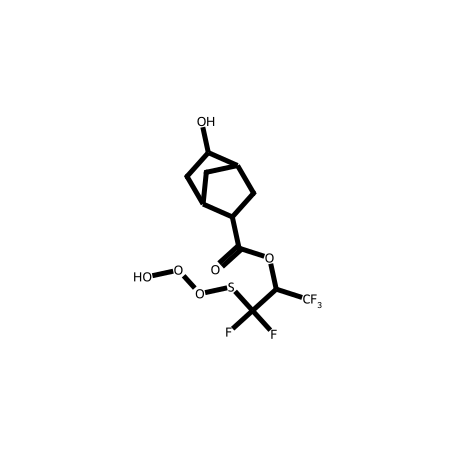 O=C(OC(C(F)(F)F)C(F)(F)SOOO)C1CC2CC1CC2O